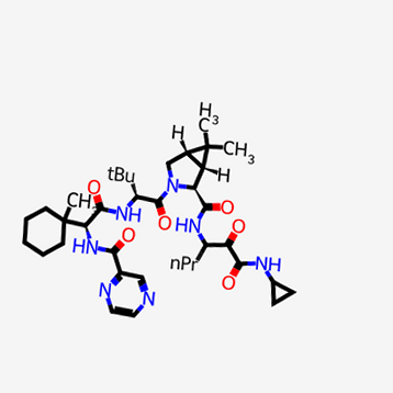 CCCC(NC(=O)[C@@H]1[C@@H]2[C@H](CN1C(=O)[C@@H](NC(=O)[C@@H](NC(=O)c1cnccn1)C1(C)CCCCC1)C(C)(C)C)C2(C)C)C(=O)C(=O)NC1CC1